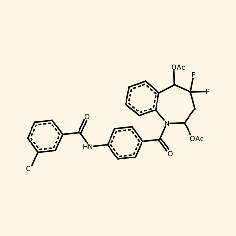 CC(=O)OC1CC(F)(F)C(OC(C)=O)c2ccccc2N1C(=O)c1ccc(NC(=O)c2cccc(Cl)c2)cc1